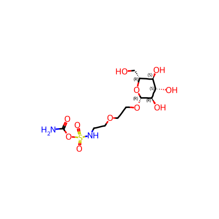 NC(=O)OS(=O)(=O)NCCOCCO[C@@H]1O[C@H](CO)[C@@H](O)[C@H](O)[C@H]1O